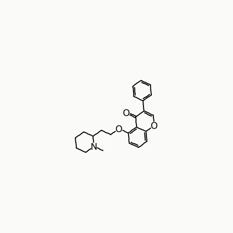 CN1CCCCC1CCOc1cccc2occ(-c3ccccc3)c(=O)c12